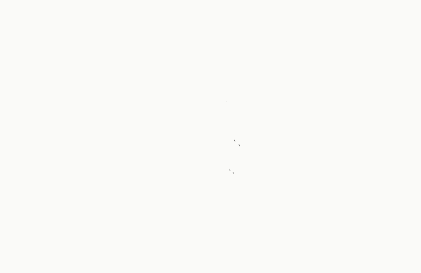 CC1CNC(N)C(C)C1